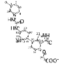 Cc1cccc(NC(=O)Nc2ccc(-c3ccc(OCC(=O)[O-])c4c3CNC4=O)cc2)c1.[Na+]